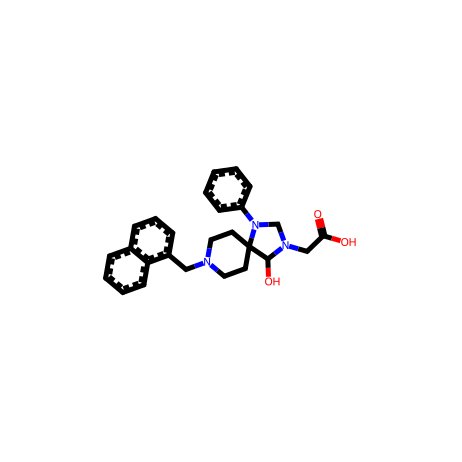 O=C(O)CN1CN(c2ccccc2)C2(CCN(Cc3cccc4ccccc34)CC2)C1O